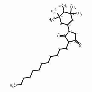 CCCCCCCCCCCCC1C(=O)CN(C2CC(C)(C)N(C)C(C)(C)C2)C1=O